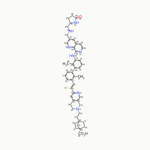 Cc1c(C=C(F)c2cc3c(cn2)CN(CCC24CCC(C(=O)O)(CC2)C4)CC3)cccc1-c1cccc(Nc2nccc3cc(CNCC4CCC(=O)N4)cnc23)c1C